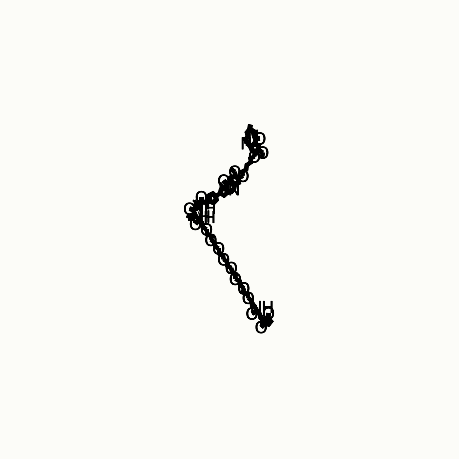 C=C1CC2C=Nc3cc(OCCCCCOc4cc5c(cc4OC)C(=O)N4C=C(c6ccc(NC(=O)[C@H](C)NC(=O)[C@@H](NC(=O)CCOCCOCCOCCOCCOCCOCCOCCOCCNC(=O)CCN7C(=O)C=CC7=O)C(C)C)cc6)CC4C=N5)c(OC)cc3C(=O)N2C1